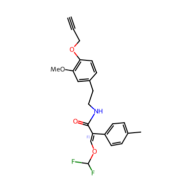 C#CCOc1ccc(CCNC(=O)/C(=C/OC(F)F)c2ccc(C)cc2)cc1OC